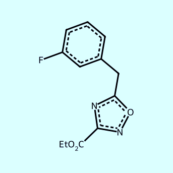 CCOC(=O)c1noc(Cc2cccc(F)c2)n1